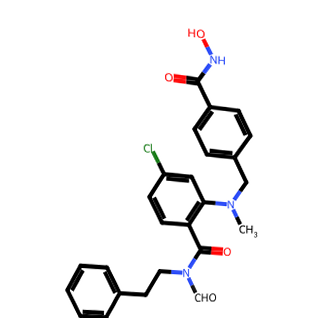 CN(Cc1ccc(C(=O)NO)cc1)c1cc(Cl)ccc1C(=O)N(C=O)CCc1ccccc1